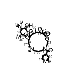 CO[C@]1(C)C[C@@H](C)CN(C)CCCN(C(=O)c2ccncc2)CCOC(=O)C(C)(C)C(=O)[C@H](C)[C@H]1O[C@@H]1O[C@H](C)C[C@H](N(C)C)[C@H]1O